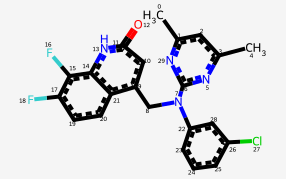 Cc1cc(C)nc(N(Cc2cc(=O)[nH]c3c(F)c(F)ccc23)c2cccc(Cl)c2)n1